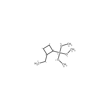 CCC1CCC1[Si](OC)(OC)OC